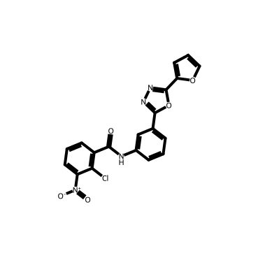 O=C(Nc1cccc(-c2nnc(-c3ccco3)o2)c1)c1cccc([N+](=O)[O-])c1Cl